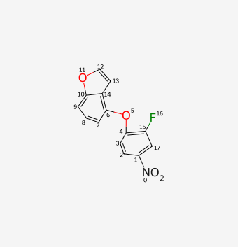 O=[N+]([O-])c1ccc(Oc2cccc3occc23)c(F)c1